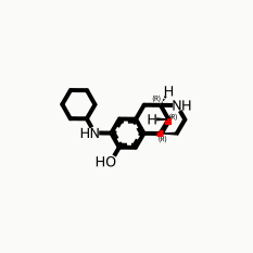 Oc1cc2c(cc1NC1CCCCC1)C[C@H]1NCC[C@@]23CCCC[C@@H]13